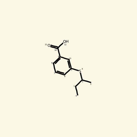 CCC(C)Sc1cccc(C(=O)O)c1